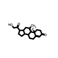 CC1CC2C(C(=O)CO)CCC2C2CCC3=CC(=O)CCC3(C)C12